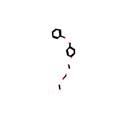 O=C(OCc1ccccc1)c1ccc(OCCOCCOCCO)cc1